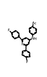 CC(=O)c1ccc(Nc2cc(-c3ccc(F)cc3)nc(-c3ccc(F)cc3)c2)cc1